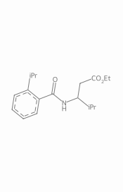 CCOC(=O)CC(NC(=O)c1ccccc1C(C)C)C(C)C